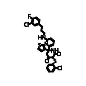 O=C1CC(c2ccsc2)(c2cccc(NCCCc3ccc(F)c(Cl)c3)n2)NC(=O)C1Sc1ccccc1Cl